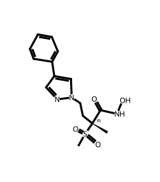 C[C@@](CCn1cc(-c2ccccc2)cn1)(C(=O)NO)S(C)(=O)=O